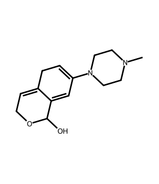 CN1CCN(C2=CCC3=CCOC(O)C3=C2)CC1